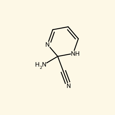 N#CC1(N)N=CC=CN1